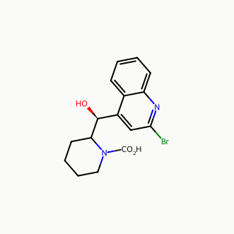 O=C(O)N1CCCCC1[C@@H](O)c1cc(Br)nc2ccccc12